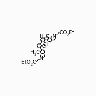 CCOC(=O)CCCN1CCc2ccc(-c3cccc(-c4cccc(-c5ccc6c(c5C)CN(CCCC(=O)OCC)CC6)c4Cl)c3Cl)c(C)c2C1